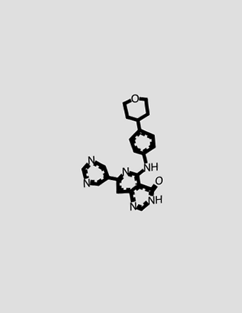 O=c1[nH]cnc2cc(-c3cncnc3)nc(Nc3ccc(C4CCOCC4)cc3)c12